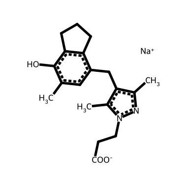 Cc1cc(Cc2c(C)nn(CCC(=O)[O-])c2C)c2c(c1O)CCC2.[Na+]